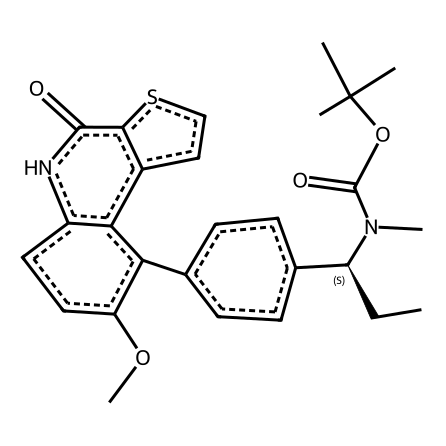 CC[C@@H](c1ccc(-c2c(OC)ccc3[nH]c(=O)c4sccc4c23)cc1)N(C)C(=O)OC(C)(C)C